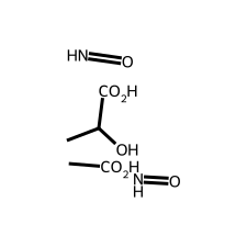 CC(=O)O.CC(O)C(=O)O.N=O.N=O